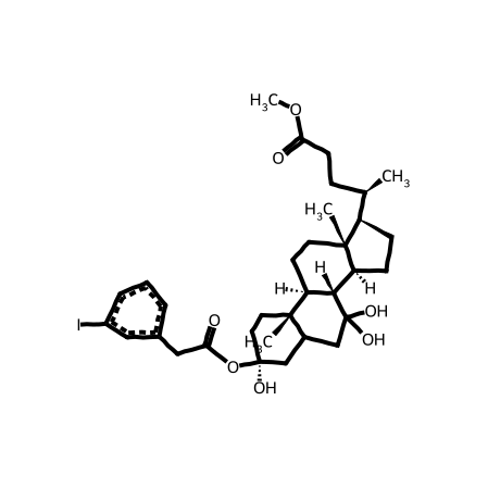 COC(=O)CC[C@@H](C)[C@H]1CC[C@H]2[C@H]3[C@H](CC[C@]12C)[C@@]1(C)CC[C@](O)(OC(=O)Cc2cccc(I)c2)CC1CC3(O)O